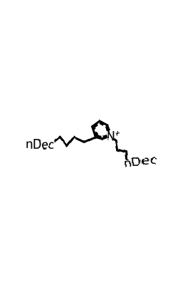 CCCCCCCCCCCCCCc1ccc[n+](CCCCCCCCCCCCC)c1